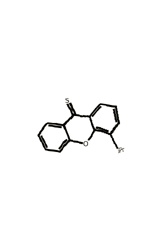 CC(C)c1cccc2c(=S)c3ccccc3oc12